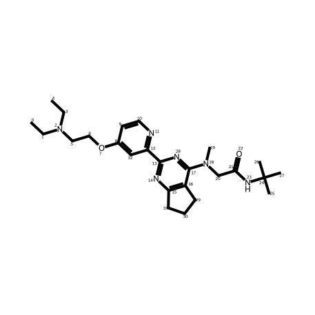 CCN(CC)CCOc1ccnc(-c2nc3c(c(N(C)CC(=O)NC(C)(C)C)n2)CCC3)c1